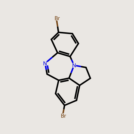 Brc1cc2c3c(c1)CCN3c1ccc(Br)cc1N=C2